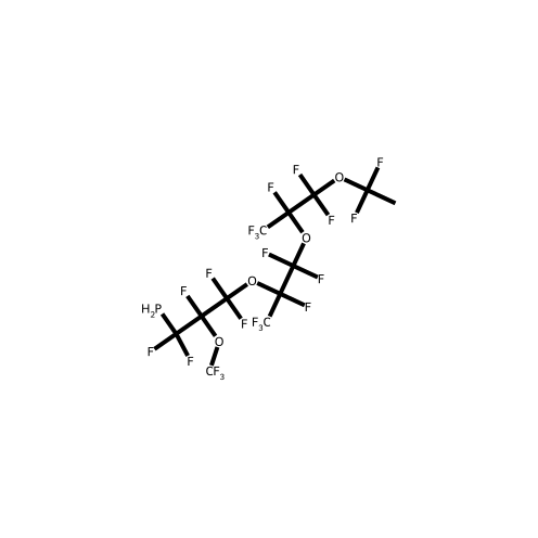 CC(F)(F)OC(F)(F)C(F)(OC(F)(F)C(F)(OC(F)(F)C(F)(OC(F)(F)F)C(F)(F)P)C(F)(F)F)C(F)(F)F